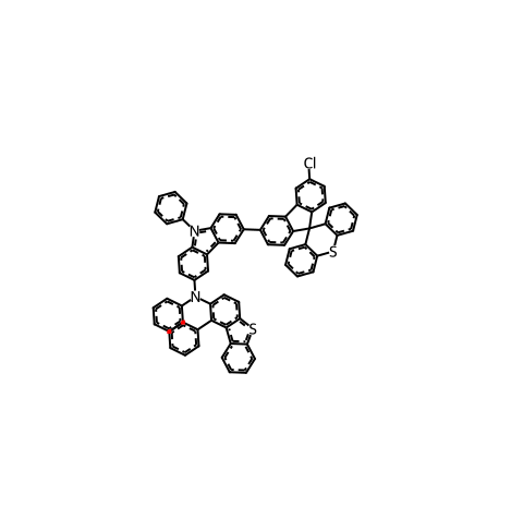 Clc1ccc2c(c1)-c1cc(-c3ccc4c(c3)c3cc(N(c5ccccc5)c5ccc6sc7ccccc7c6c5-c5ccccc5)ccc3n4-c3ccccc3)ccc1C21c2ccccc2Sc2ccccc21